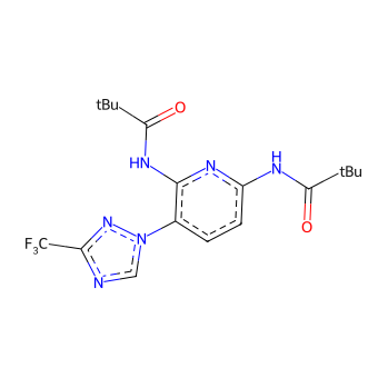 CC(C)(C)C(=O)Nc1ccc(-n2cnc(C(F)(F)F)n2)c(NC(=O)C(C)(C)C)n1